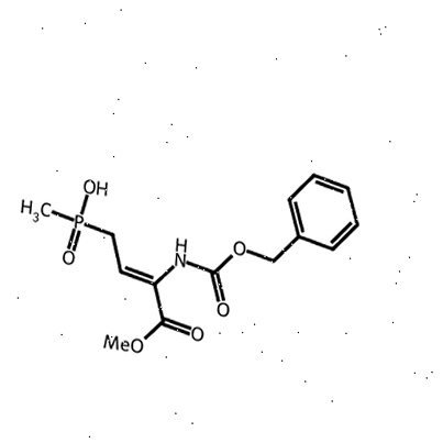 COC(=O)/C(=C/CP(C)(=O)O)NC(=O)OCc1ccccc1